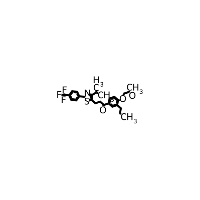 CCCc1cc(C(=O)CCc2sc(-c3ccc(C(F)(F)F)cc3)nc2C(C)C)ccc1OCC(C)=O